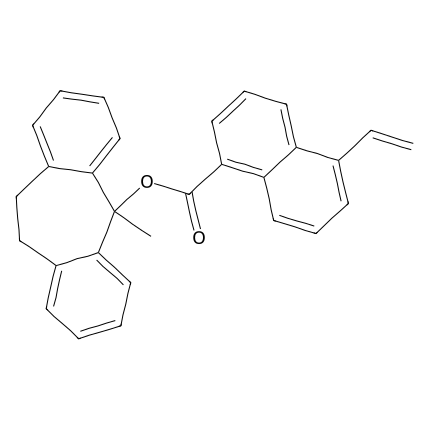 C=Cc1cccc2c(C(=O)OC3(C)c4ccccc4CCc4ccccc43)cccc12